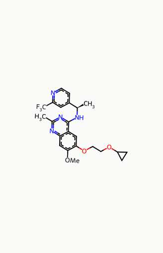 COc1cc2nc(C)nc(N[C@H](C)c3ccnc(C(F)(F)F)c3)c2cc1OCCOC1CC1